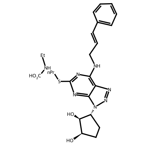 CCCSc1nc(NCC=Cc2ccccc2)c2nnn([C@@H]3CC[C@@H](O)[C@H]3O)c2n1.CCNC(=O)O